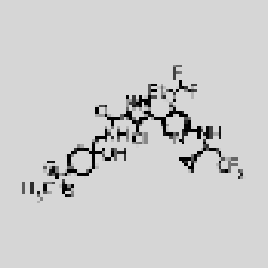 CCn1nc(C(=O)NCC2(O)CCC(S(C)(=O)=O)CC2)c(Cl)c1-c1cnc(NC(CC(F)(F)F)C2CC2)cc1OC(F)F